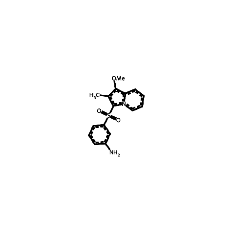 COc1c(C)c(S(=O)(=O)c2cccc(N)c2)n2ccccc12